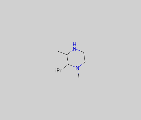 CC(C)C1C(C)NCCN1C